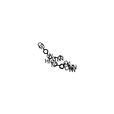 C[C@@H](Cn1cnnn1)Oc1cc(-c2cnc(Nc3cn([C@H]4CC[C@H](N5CCOCC5)CC4)nc3OCc3ccn(C)n3)nc2)ccc1Cl